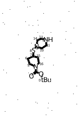 CC(C)(C)OC(=O)N1CCC(SN2CCNCC2)CC1